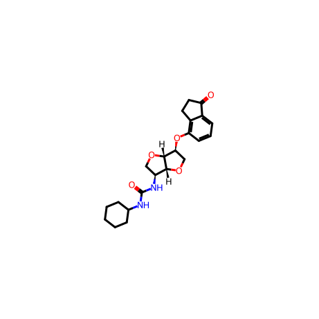 O=C(NC1CCCCC1)N[C@H]1CO[C@H]2[C@@H]1OC[C@@H]2Oc1cccc2c1CCC2=O